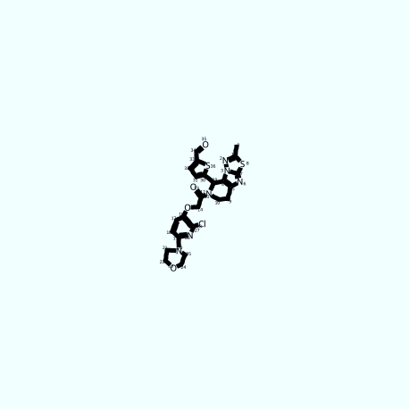 Cc1nn2c3c(nc2s1)CCN(C(=O)COc1ccc(N2CCOCC2)nc1Cl)C3c1ccc(C=O)s1